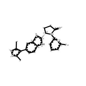 Cc1noc(C)c1-c1ccc2[nH]c([C@@H]3CCC(=O)N3c3cccc(F)c3)nc2c1